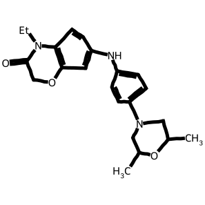 [CH2]CN1C(=O)COc2cc(Nc3ccc(N4CC(C)OC(C)C4)cc3)ccc21